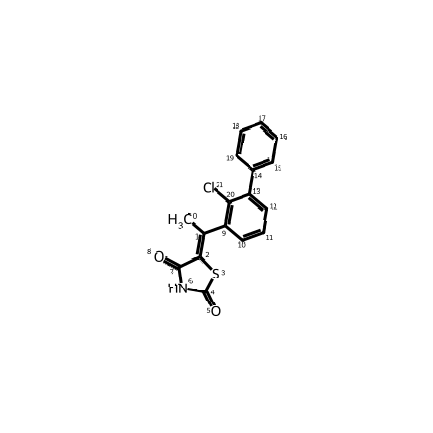 CC(=C1SC(=O)NC1=O)c1cccc(-c2ccccc2)c1Cl